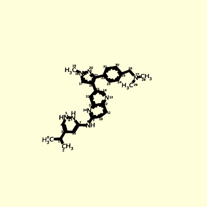 CC(C)C1=CNNC(Nc2ccc3ncc(-c4cn(C)nc4-c4ccc(CN(C)C)cc4)cc3n2)=C1